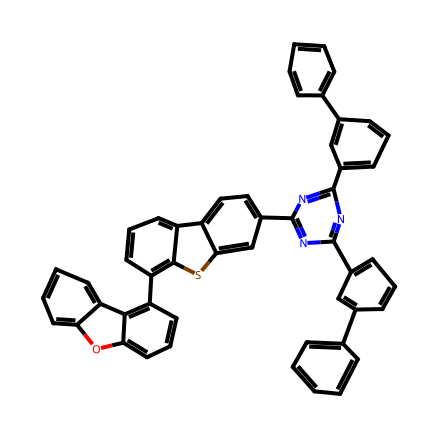 c1ccc(-c2cccc(-c3nc(-c4cccc(-c5ccccc5)c4)nc(-c4ccc5c(c4)sc4c(-c6cccc7oc8ccccc8c67)cccc45)n3)c2)cc1